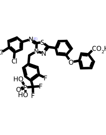 O=C(O)c1cccc(Oc2cccc(-c3nn(Cc4ccc(C(F)(F)P(=O)(O)O)c(F)c4)/c(=N\c4ccc(Cl)c(Cl)c4)s3)c2)c1